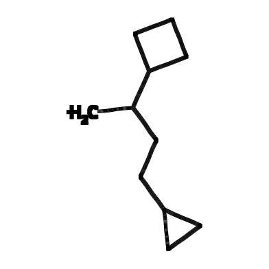 [CH2]C(CCC1CC1)C1CCC1